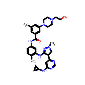 Cc1ccc(NC(=O)c2cc(N3CCN(CCO)CC3)cc(C(F)(F)F)c2)cc1NC1=NN(C)CC1c1cc(NC2CC2)ncn1